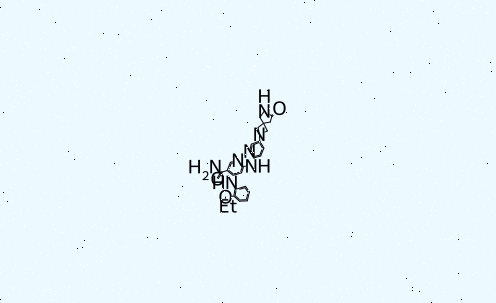 CCOc1ccccc1Nc1cc(Nc2ccc(N3CC4(CNC(=O)C4)C3)cn2)ncc1C(N)=O